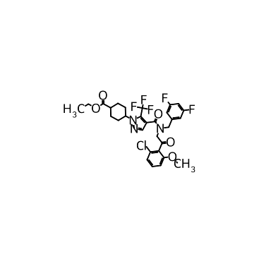 CCOC(=O)C1CCC(n2ncc(C(=O)N(CC(=O)c3c(Cl)cccc3OC)Cc3cc(F)cc(F)c3)c2C(F)(F)F)CC1